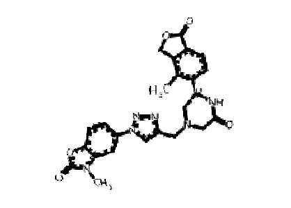 Cc1c([C@@H]2CN(Cc3cn(-c4ccc5oc(=O)n(C)c5c4)nn3)CC(=O)N2)ccc2c1COC2=O